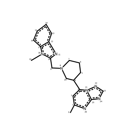 Cc1cc(C2CCCN(Cc3nc4ccccc4n3C)C2)n2ncnc2n1